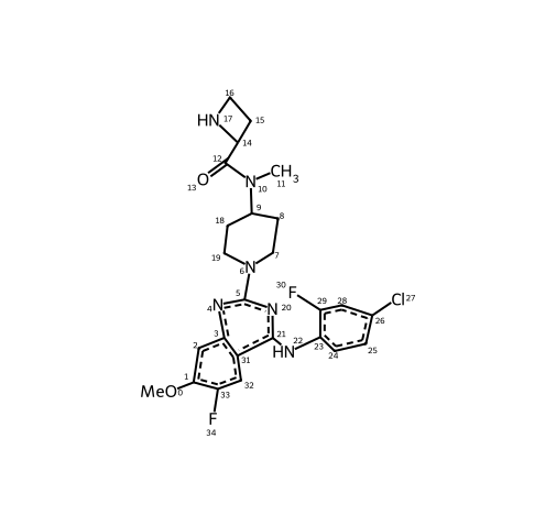 COc1cc2nc(N3CCC(N(C)C(=O)C4CCN4)CC3)nc(Nc3ccc(Cl)cc3F)c2cc1F